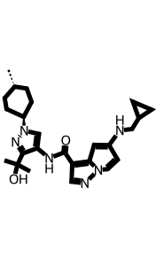 CC(C)(O)c1nn([C@H]2CC[C@H](C)CC2)cc1NC(=O)c1cnn2ccc(NCC3CC3)cc12